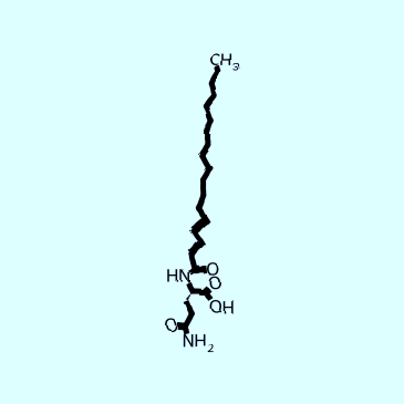 CCCCCCCCCCCCCC=CC=CC(=O)N[C@@H](CCC(N)=O)C(=O)O